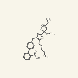 CCCCCc1nc(C(CCCC)(OC)OC)nn1Cc1ccc(-c2ccccc2C(=O)O)cn1